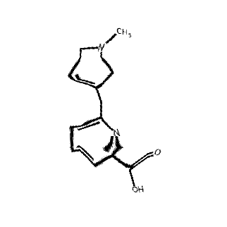 CN1CC=C(c2cccc(C(=O)O)n2)C1